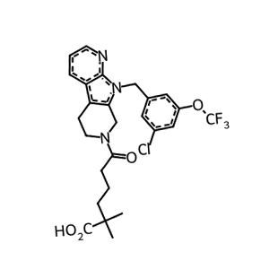 CC(C)(CCCC(=O)N1CCc2c(n(Cc3cc(Cl)cc(OC(F)(F)F)c3)c3ncccc23)C1)C(=O)O